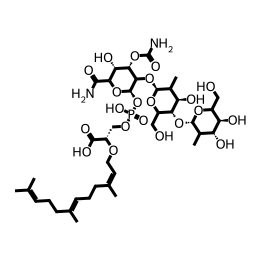 CC(C)=CCC/C(C)=C/CC/C(C)=C\CO[C@@H](COP(=O)(O)O[C@H]1OC(C(N)=O)[C@H](O)[C@H](OC(N)=O)C1O[C@@H]1OC(CO)[C@@H](O[C@@H]2OC(CO)[C@@H](O)[C@H](O)C2C)[C@H](O)C1C)C(=O)O